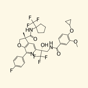 COc1cc(C(=O)NC[C@](O)(c2cc3c(c(-c4ccc(F)cc4)n2)OC[C@]3(C)C(=O)NC2(C(F)(F)F)CCCC2)C(F)(F)F)ccc1OC1CC1